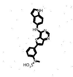 CN(c1cccc(-c2cc3ncnc(Nc4ccc5[nH]ccc5c4)c3s2)c1)S(=O)(=O)O